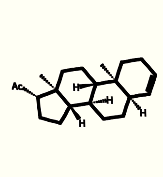 CC(=O)[C@H]1CC[C@H]2[C@@H]3CC[C@@H]4C=CCC[C@]4(C)[C@H]3CC[C@]12C